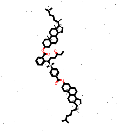 CCC(=O)CCC(c1ccccc1C(=O)OC1CC[C@@]2(C)C(=CCC3C2CC[C@@]2(C)C3CC[C@@H]2[C@H](C)CCCC(C)C)C1)[Si](C)(C)c1ccc(C(=O)OC2CC[C@@]3(C)C(=CCC4C3CC[C@@]3(C)C4CC[C@@H]3[C@H](C)CCCC(C)C)C2)cc1